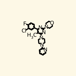 Cc1c(-c2ccc(F)c(Cl)c2)nc(N2CCOCC2)nc1N1CCN(c2ccccn2)CC1